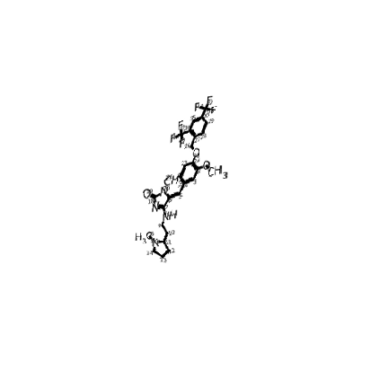 COc1cc(C=C2C(NCCC3CCCN3C)=NC(=O)N2C)ccc1OCc1ccc(C(F)(F)F)cc1C(F)(F)F